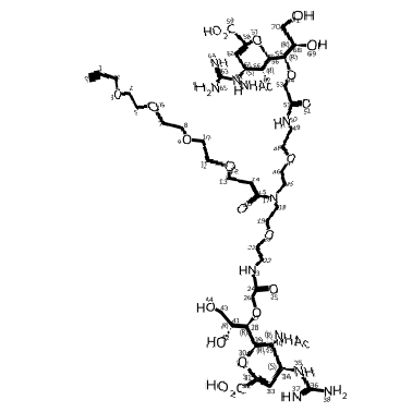 C#CCOCCOCCOCCOCCC(=O)N(CCOCCNC(=O)CO[C@@H]([C@@H]1OC(C(=O)O)=C[C@H](NC(=N)N)[C@H]1NC(C)=O)[C@H](O)CO)CCOCCNC(=O)CO[C@@H]([C@@H]1OC(C(=O)O)=C[C@H](NC(=N)N)[C@H]1NC(C)=O)[C@H](O)CO